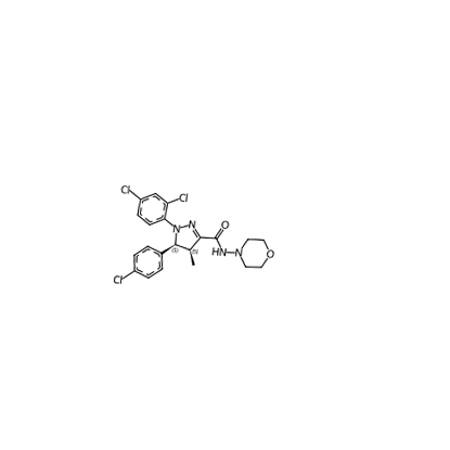 C[C@@H]1C(C(=O)NN2CCOCC2)=NN(c2ccc(Cl)cc2Cl)[C@@H]1c1ccc(Cl)cc1